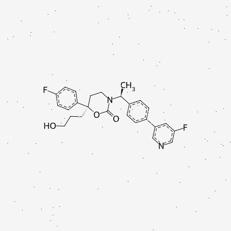 C[C@@H](c1ccc(-c2cncc(F)c2)cc1)N1CC[C@](CCCO)(c2ccc(F)cc2)OC1=O